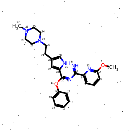 COc1cccc(C(=N)/N=C(/Oc2ccccc2)c2cc(CCN3CCN(C)CC3)c[nH]2)n1